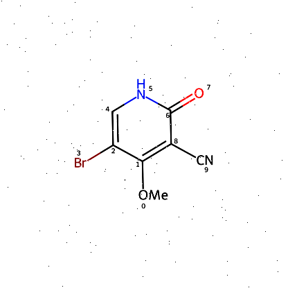 COc1c(Br)c[nH]c(=O)c1C#N